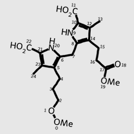 COOCCCc1c(Cc2[nH]c(C(=O)O)c(C)c2CCC(=O)OC)[nH]c(C(=O)O)c1C